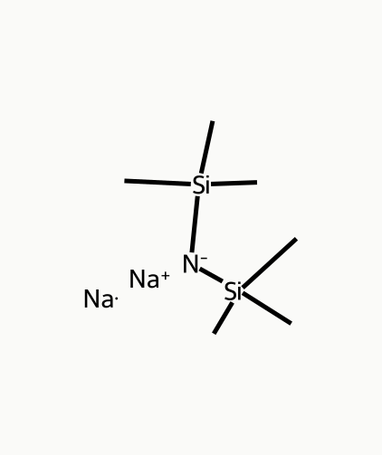 C[Si](C)(C)[N-][Si](C)(C)C.[Na+].[Na]